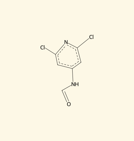 O=CNc1cc(Cl)nc(Cl)c1